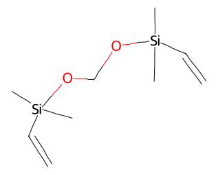 C=C[Si](C)(C)OCO[Si](C)(C)C=C